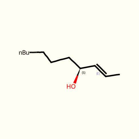 C/C=C/[C@@H](O)CCCCCCC